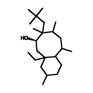 CCC12CC(C)CCC1C(C)CC(C)C(C)(CC(C)(C)C)[C@H](O)C2